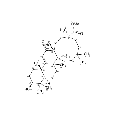 COC(=O)[C@@]1(C)CCC(C)(C)CC[C@]2(C)[C@@](O)(CC1)C(=O)C=C1[C@@]3(C)CC[C@H](O)C(C)(C)[C@@H]3CC[C@]12C